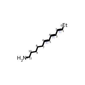 CC/C=C/C=C/C=C/CCCCCN